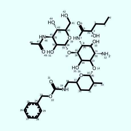 CCC[C@H](O)C(=O)N[C@@H]1C(O)[C@H](N)C(O[C@H]2OC(CNC(=O)OCc3ccccc3)CCC2C)C(O)[C@H]1O[C@H]1OC(CO)[C@@H](O)[C@H](NC(C)=O)C1O